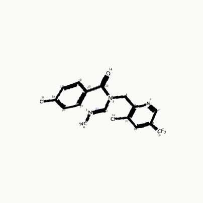 N#C/N=C/N(Cc1ncc(C(F)(F)F)cc1Cl)C(=O)c1ccc(Cl)cc1